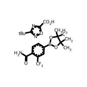 CC(C)(C)c1noc(C(=O)O)n1.CC1(C)OB(c2ccc(C(N)=O)c(C(F)(F)F)c2)OC1(C)C